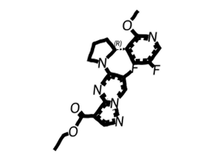 CCOC(=O)c1cnn2cc(F)c(N3CCC[C@@H]3c3cc(F)cnc3OC)nc12